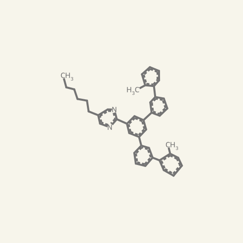 CCCCCCc1cnc(-c2cc(-c3cccc(-c4ccccc4C)c3)cc(-c3cccc(-c4ccccc4C)c3)c2)nc1